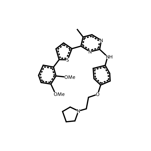 COc1cccc(-c2ccc(-c3nc(Nc4ccc(OCCN5CCCC5)cc4)ncc3C)s2)c1OC